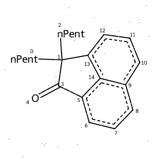 CCCCCC1(CCCCC)C(=O)c2cccc3cccc1c23